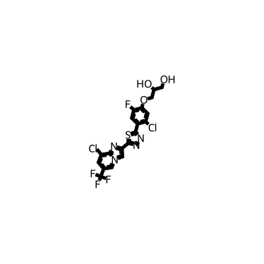 OCC(O)COc1cc(Cl)c(-c2nnc(-c3cn4cc(C(F)(F)F)cc(Cl)c4n3)s2)cc1F